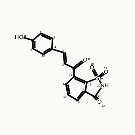 O=C(C=Cc1ccc(O)cc1)c1cccc2c1S(=O)(=O)NC2=O